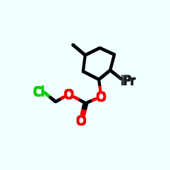 CC1CCC(C(C)C)C(OC(=O)OCCl)C1